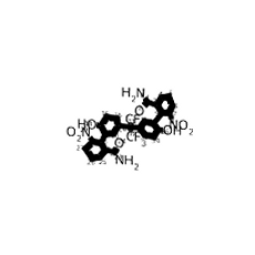 NC(=O)c1cccc([N+](=O)[O-])c1-c1cc(C(c2ccc(O)c(-c3c(C(N)=O)cccc3[N+](=O)[O-])c2)(C(F)(F)F)C(F)(F)F)ccc1O